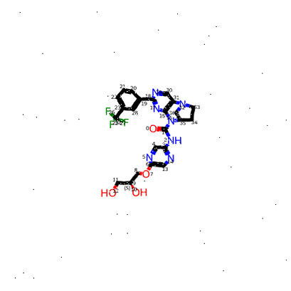 O=C(Nc1cnc(OC[C@@H](O)CO)cn1)N1c2nc(-c3cccc(C(F)(F)F)c3)ncc2N2CCC1C2